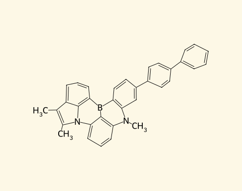 Cc1c(C)n2c3c(cccc13)B1c3ccc(-c4ccc(-c5ccccc5)cc4)cc3N(C)c3cccc-2c31